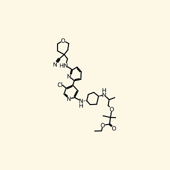 CCOC(=O)C(C)(C)OCC(C)N[C@H]1CC[C@H](Nc2cc(-c3cccc(NCC4(C#N)CCOCC4)n3)c(Cl)cn2)CC1